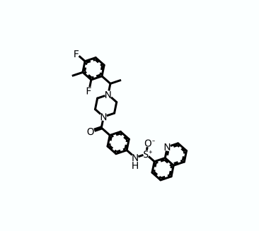 Cc1c(F)ccc(C(C)N2CCN(C(=O)c3ccc(N[S+]([O-])c4cccc5cccnc45)cc3)CC2)c1F